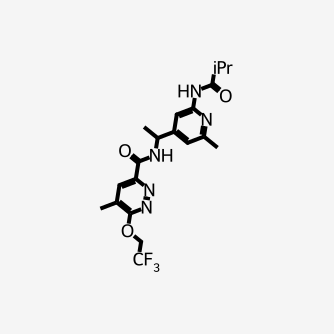 Cc1cc(C(C)NC(=O)c2cc(C)c(OCC(F)(F)F)nn2)cc(NC(=O)C(C)C)n1